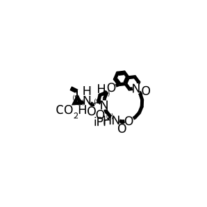 C=C[C@@H]1C[C@]1(NC(=O)[C@@H]1C[C@@H]2CN1C(=O)[C@H](C(C)C)NC(=O)OCCCCC(=O)N1CCc3cccc(c3C1)O2)C(=O)O